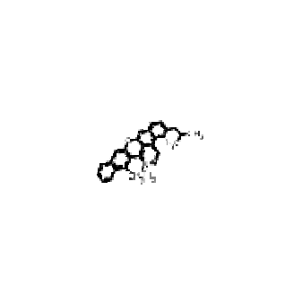 Cc1c2c(cc3ccccc13)Oc1cc3ccc(CC(C)C)cc3c3cc[n+](C)c-2c13